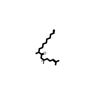 C=CCCCCCCCC(C)C(=O)C[C@H](C)CCC=C(C)C